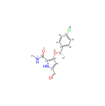 CNC(=O)c1[nH]c(C=O)cc1O[C@@H](C)c1ccc(Cl)cc1